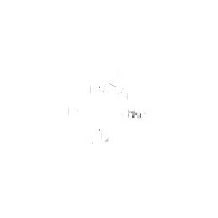 CC(=O)N[C@H]1[C@H](O)[C@@H](O)[C@H](OP(=O)([O-])[O-])O[C@@H]1CO.[Na+].[Na+]